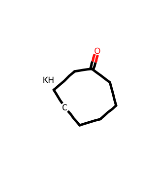 O=C1CCCCCCC1.[KH]